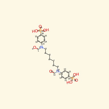 O=CN(CCCCCCCN(C=O)c1ccc(P(=O)(O)O)cc1)c1ccc(P(=O)(O)O)cc1